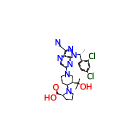 C[C@H](c1ccc(Cl)cc1Cl)n1nc(C#N)c2ncc(N3CC[C@H](N4CCC[C@H]4C(=O)O)[C@H](C(C)(C)O)C3)nc21